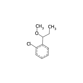 CCC(OC)c1ccccc1Cl